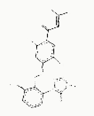 CC(O)=CC(=O)c1cc(C)c(OCc2c(C)cccc2-n2nnn(C)c2=O)cc1C